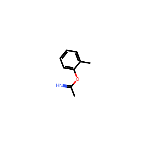 CC(=N)Oc1ccccc1C